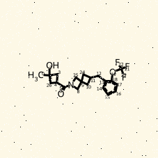 CC1(O)CC(C(=O)N2CC3(CC(Cc4ccccc4OC(F)(F)F)C3)C2)C1